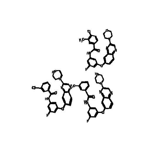 O=C(Nc1cc(F)cc(Oc2ccc3ncc(N4CCNCC4)nc3c2)c1)c1cccc(C(F)(F)F)c1.O=C(Nc1cc(F)cc(Oc2ccc3ncc(N4CCNCC4)nc3c2)c1)c1cccc(Cl)c1.O=C(Nc1cc(F)cc(Oc2ccc3ncc(N4CCOCC4)nc3c2)c1)c1ccc(Cl)c(C(F)(F)F)c1